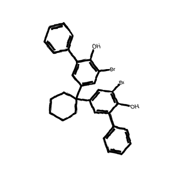 Oc1c(Br)cc(C2(c3cc(Br)c(O)c(-c4ccccc4)c3)CCCCC2)cc1-c1ccccc1